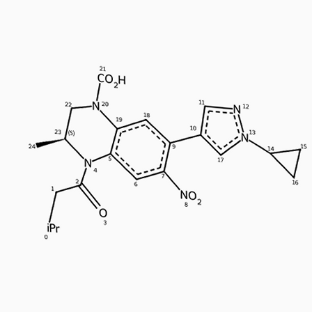 CC(C)CC(=O)N1c2cc([N+](=O)[O-])c(-c3cnn(C4CC4)c3)cc2N(C(=O)O)C[C@@H]1C